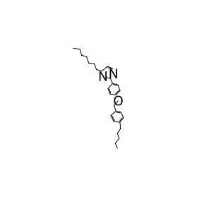 CCCCCCCc1ccnc(-c2ccc(OCc3ccc(CCCCC)cc3)cc2)n1